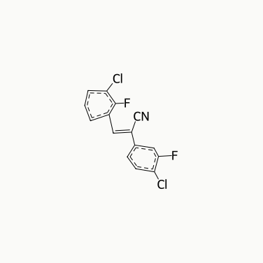 N#CC(=Cc1cccc(Cl)c1F)c1ccc(Cl)c(F)c1